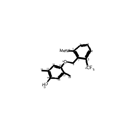 CNc1cccc(C(F)(F)F)c1COc1cc(C)c(O)cc1C